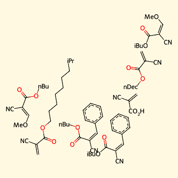 C=C(C#N)C(=O)O.C=C(C#N)C(=O)OCCCCCCCC(C)C.C=C(C#N)C(=O)OCCCCCCCCCC.CC(C)COC(=O)C(C#N)=Cc1ccccc1.CCCCOC(=O)C(C#N)=COC.CCCCOC(=O)C(C#N)=Cc1ccccc1.COC=C(C#N)C(=O)OCC(C)C